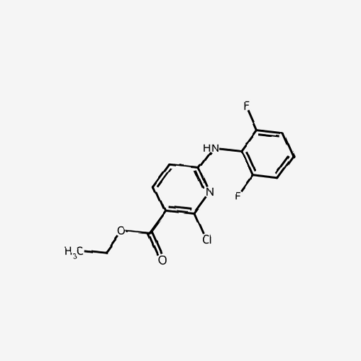 CCOC(=O)c1ccc(Nc2c(F)cccc2F)nc1Cl